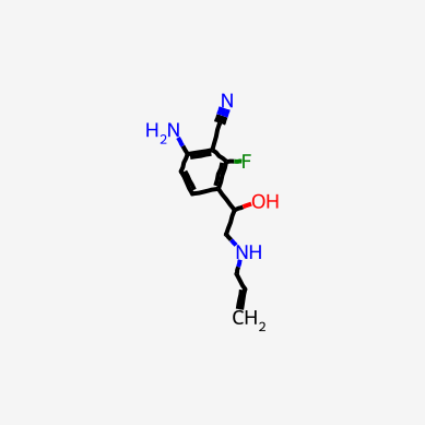 C=CCNCC(O)c1ccc(N)c(C#N)c1F